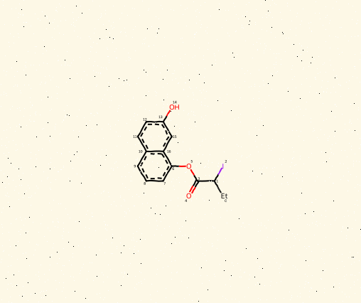 CCC(I)C(=O)Oc1cccc2ccc(O)cc12